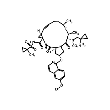 CCOc1ccc2c(O[C@@H]3C[C@H]4C(=O)N[C@]5(C(=O)NS(=O)(=O)C6(C)CC6)C[C@H]5C=CCC[C@@H](C)C[C@@H](C)[C@H](N(CC5(C)CC5)C(=O)O)C(=O)N4C3)nccc2c1